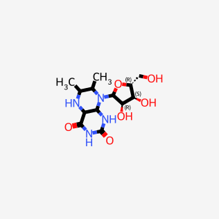 CC1NC2C(=O)NC(=O)NC2N(C2O[C@H](CO)[C@@H](O)[C@H]2O)C1C